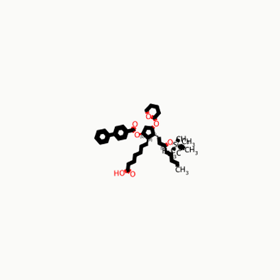 CCCCC[C@@H](CC[C@H]1C(OC2CCCCO2)C[C@H](OC(=O)c2ccc(-c3ccccc3)cc2)[C@@H]1CCCCCCC(=O)O)O[Si](C)(C)C(C)(C)C